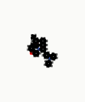 CC(C)(C)c1cc(-c2cccc3cccc(-c4ccccc4N(c4cccc(-c5ccc6c(c5)c5ccccc5n6-c5ccccc5)c4)c4cccc5oc6ccccc6c45)c23)cc(C(C)(C)C)c1